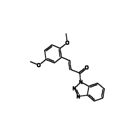 COc1ccc(OC)c(C=CC(=O)n2nnc3ccccc32)c1